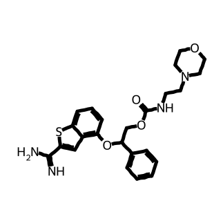 N=C(N)c1cc2c(OC(COC(=O)NCCN3CCOCC3)c3ccccc3)cccc2s1